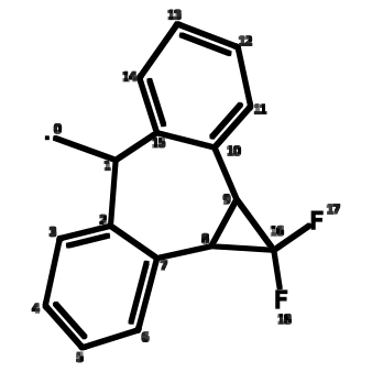 [CH2]C1c2ccccc2C2C(c3ccccc31)C2(F)F